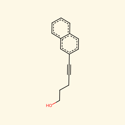 OCCCC#Cc1ccc2ccccc2c1